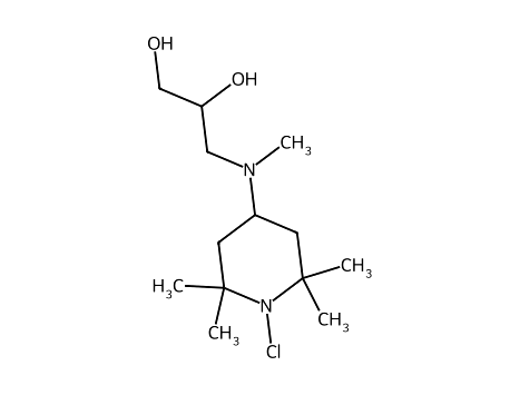 CN(CC(O)CO)C1CC(C)(C)N(Cl)C(C)(C)C1